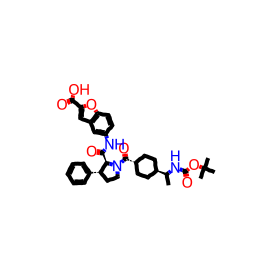 CC(NC(=O)OC(C)(C)C)[C@H]1CC[C@H](C(=O)N2CC[C@H](c3ccccc3)[C@H]2C(=O)Nc2ccc3oc(C(=O)O)cc3c2)CC1